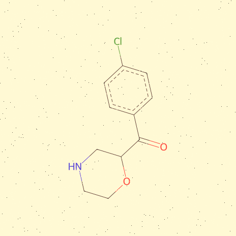 O=C(c1ccc(Cl)cc1)C1CNCCO1